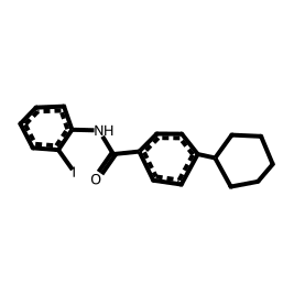 O=C(Nc1ccccc1I)c1ccc(C2CCCCC2)cc1